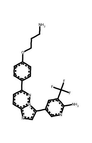 NCCCOc1ccc(-c2ccc3ncc(-c4cnc(N)c(C(F)(F)F)c4)n3n2)cc1